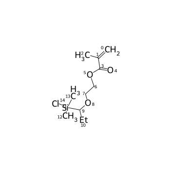 C=C(C)C(=O)OCCOC(CC)[Si](C)(C)Cl